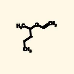 C=COC(C)[CH]CC